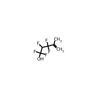 C=C(C)C(F)(F)C(F)C(O)(F)F